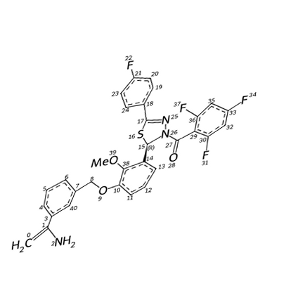 C=C(N)c1cccc(COc2cccc([C@H]3SC(c4ccc(F)cc4)=NN3C(=O)c3c(F)cc(F)cc3F)c2OC)c1